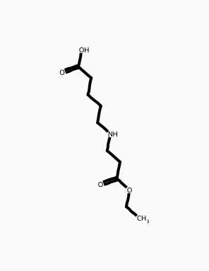 CCOC(=O)CCNCCCCC(=O)O